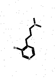 CN(C)CCCc1ccncc1Br